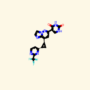 O=c1[nH]cc(-c2cc([C@H]3C[C@@H]3c3ccnc(C(F)(F)F)n3)c3nccn3n2)c(=O)[nH]1